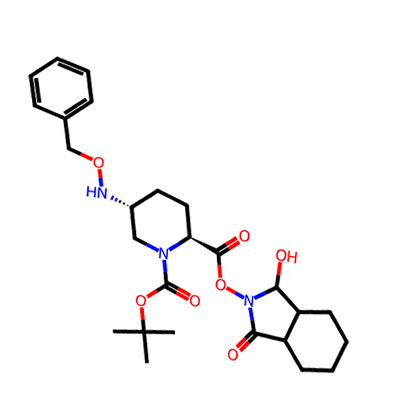 CC(C)(C)OC(=O)N1C[C@H](NOCc2ccccc2)CC[C@H]1C(=O)ON1C(=O)C2CCCCC2C1O